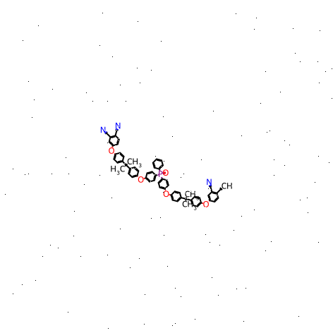 C#Cc1ccc(Oc2ccc(C(C)(C)c3ccc(Oc4ccc(P(=O)(c5ccccc5)c5ccc(Oc6ccc(C(C)(C)c7ccc(Oc8ccc(C#N)c(C#N)c8)cc7)cc6)cc5)cc4)cc3)cc2)cc1C#N